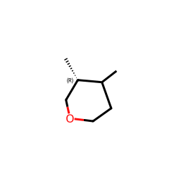 CC1CCOC[C@@H]1C